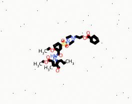 CCCc1c(C=O)c(C)c(C(=O)OCC)n1NC(=O)c1cc(S(=O)(=O)N2CCN(CCCOC(=O)c3ccccc3)CC2)ccc1OCC